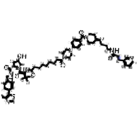 Cc1ncsc1-c1ccc(CNC(=O)[C@@H]2C[C@@H](O)CN2C(=O)[C@@H](NC(=O)CCCCCCCC(=O)N2CCN(c3ccc(C(=O)N4CCC(CCCCNC(=O)/C=C/c5cccnc5)CC4)cc3)CC2)C(C)(C)C)cc1